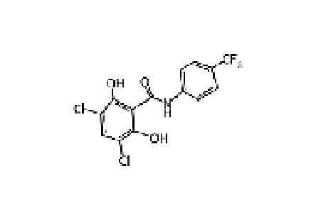 O=C(Nc1ccc(C(F)(F)F)cc1)c1c(O)c(Cl)cc(Cl)c1O